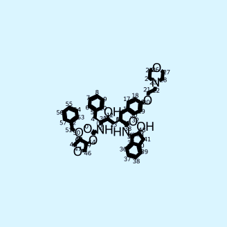 O=C(N[C@@H](Cc1ccccc1)[C@@H](O)C[C@@H](Cc1ccc(OCCN2CCOCC2)cc1)C(=O)N[C@H]1c2ccccc2C[C@H]1O)O[C@@H]1COC[C@H]1OCc1ccccc1